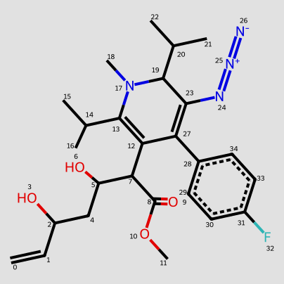 C=CC(O)CC(O)C(C(=O)OC)C1=C(C(C)C)N(C)C(C(C)C)C(N=[N+]=[N-])=C1c1ccc(F)cc1